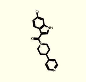 O=C(c1c[nH]c2cc(Cl)ccc12)N1CCC(c2ccncc2)CC1